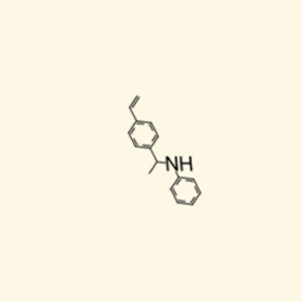 C=Cc1ccc(C(C)Nc2ccccc2)cc1